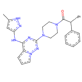 Cc1cc(Nc2nc(N3CCN(C(=O)C(c4ccccc4)C(C)C)CC3)nn3cccc23)n[nH]1